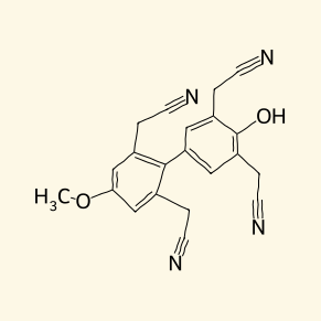 COc1cc(CC#N)c(-c2cc(CC#N)c(O)c(CC#N)c2)c(CC#N)c1